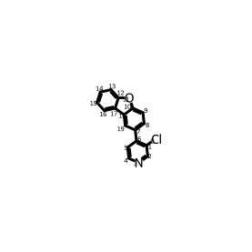 Clc1cnccc1-c1ccc2oc3ccccc3c2c1